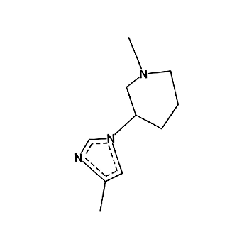 Cc1cn(C2CCCN(C)C2)cn1